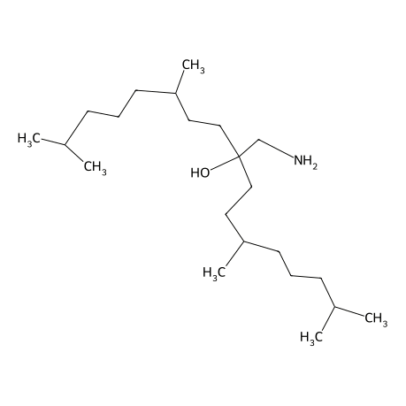 CC(C)CCCC(C)CCC(O)(CN)CCC(C)CCCC(C)C